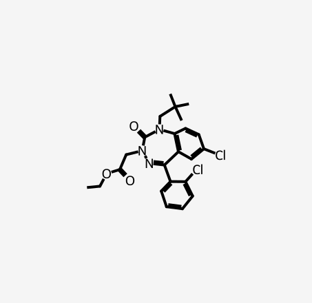 CCOC(=O)CN1N=C(c2ccccc2Cl)c2cc(Cl)ccc2N(CC(C)(C)C)C1=O